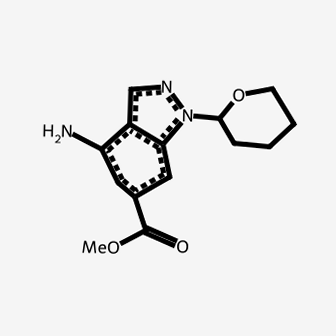 COC(=O)c1cc(N)c2cnn(C3CCCCO3)c2c1